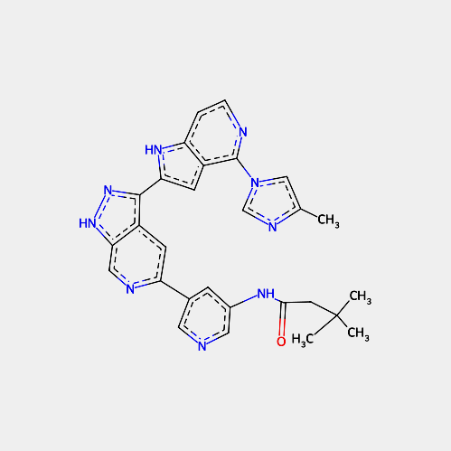 Cc1cn(-c2nccc3[nH]c(-c4n[nH]c5cnc(-c6cncc(NC(=O)CC(C)(C)C)c6)cc45)cc23)cn1